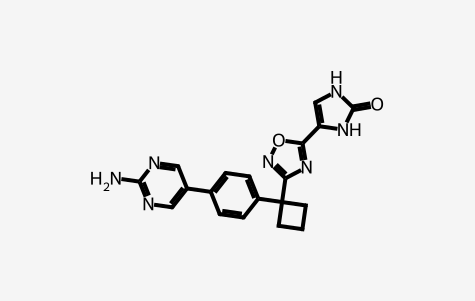 Nc1ncc(-c2ccc(C3(c4noc(-c5c[nH]c(=O)[nH]5)n4)CCC3)cc2)cn1